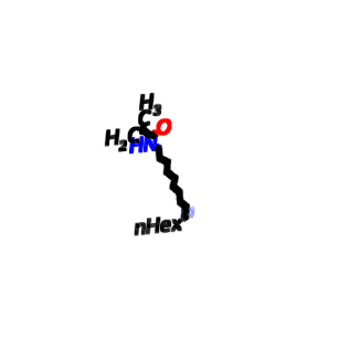 C=C(C)C(=O)NCCCCCCCC/C=C\CCCCCC